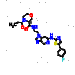 C=CC(=O)N1CCOC[C@H]1C(=O)NCCn1cnc2cnc(Nc3ncc(-c4ccc(F)cc4)s3)cc21